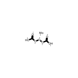 O=C(O)OOOC(=O)O.[Mo]